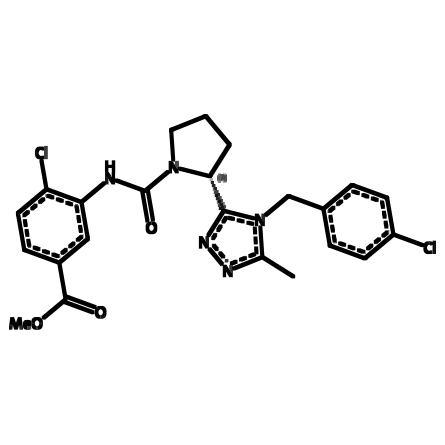 COC(=O)c1ccc(Cl)c(NC(=O)N2CCC[C@@H]2c2nnc(C)n2Cc2ccc(Cl)cc2)c1